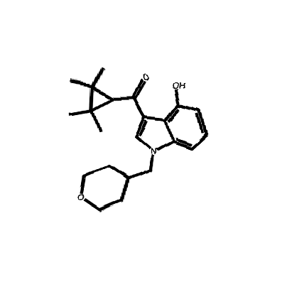 CC1(C)C(C(=O)c2cn(CC3CCOCC3)c3cccc(O)c23)C1(C)C